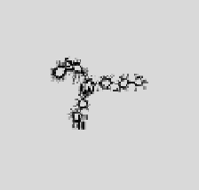 c1ccc(-c2ccc(-c3ccc(-c4cc(-c5ccc6sc7ccccc7c6c5)nc(-c5ccc(-c6cccnc6)cc5)n4)cc3)cc2)cc1